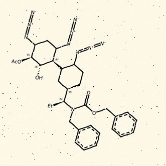 CC[C@@H]([C@@H]1CCC(N=[N+]=[N-])C([C@@H]2C(N=[N+]=[N-])CC(N=[N+]=[N-])[C@H](OC(C)=O)[C@H]2O)C1)N(Cc1ccccc1)C(=O)OCc1ccccc1